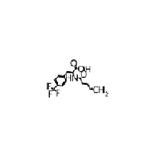 C=CCCC(=O)NC(Cc1ccc(C(F)(F)F)cc1)C(=O)O